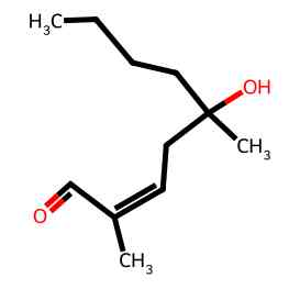 CCCCC(C)(O)CC=C(C)C=O